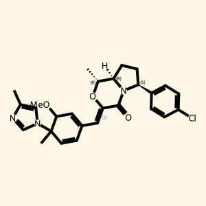 COC1C=C(/C=C2\O[C@H](C)[C@H]3CC[C@@H](c4ccc(Cl)cc4)N3C2=O)C=CC1(C)n1cnc(C)c1